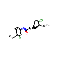 COc1cc(C=CC(=O)Nc2ccc(C(F)(F)F)c(Cl)c2)ccc1Cl